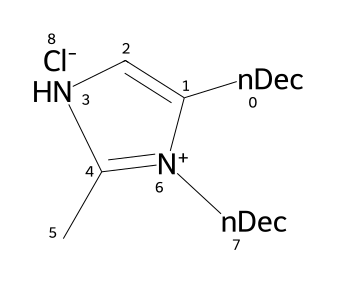 CCCCCCCCCCc1c[nH]c(C)[n+]1CCCCCCCCCC.[Cl-]